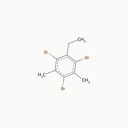 CCc1c(Br)c(C)c(Br)c(C)c1Br